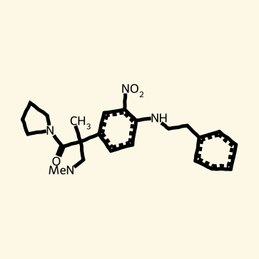 CNCC(C)(C(=O)N1CCCC1)c1ccc(NCCc2ccccc2)c([N+](=O)[O-])c1